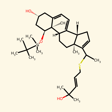 CC(SC/C=C/C(C)(C)O)C1=CC[C@H]2C3=CC=C4C[C@@H](O)C[C@H](O[Si](C)(C)C(C)(C)C)[C@]4(C)[C@H]3CC[C@]12C